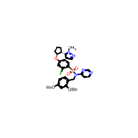 COc1ccc(CN(c2ccncn2)S(=O)(=O)c2ccc(O[C@H]3CCC[C@@H]3c3ccnn3C)cc2F)c(OC)c1